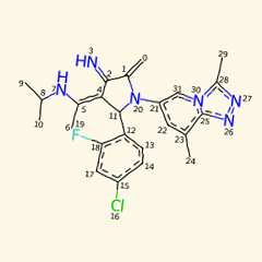 C=C1C(=N)/C(=C(/C)NC(C)C)C(c2ccc(Cl)cc2F)N1c1cc(C)c2nnc(C)n2c1